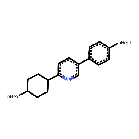 CCCCCCCc1ccc(-c2ccc(C3CCC(CCCCCC)CC3)nc2)cc1